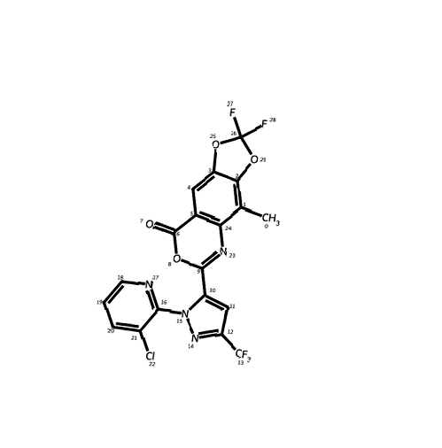 Cc1c2c(cc3c(=O)oc(-c4cc(C(F)(F)F)nn4-c4ncccc4Cl)nc13)OC(F)(F)O2